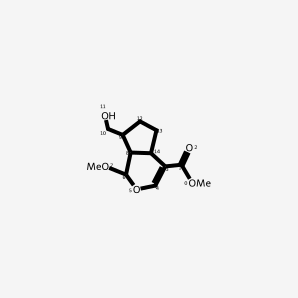 COC(=O)C1=COC(OC)C2C(CO)CCC12